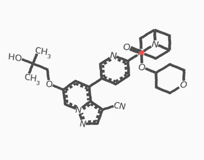 CC(C)(O)COc1cc(-c2ccc(N3CC4CC(C3)N4C(=O)OC3CCOCC3)nc2)c2c(C#N)cnn2c1